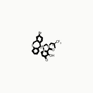 C[C@@H](CN1CN([C@H]2c3ccc(Br)cc3CSc3ccccc32)n2ccc(=O)c(O)c2C1=O)C(F)(F)F